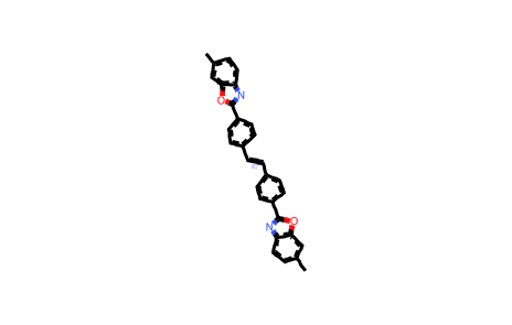 Cc1ccc2nc(-c3ccc(/C=C/c4ccc(-c5nc6ccc(C)cc6o5)cc4)cc3)oc2c1